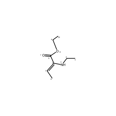 CC=C(NCC)C(=O)OCC